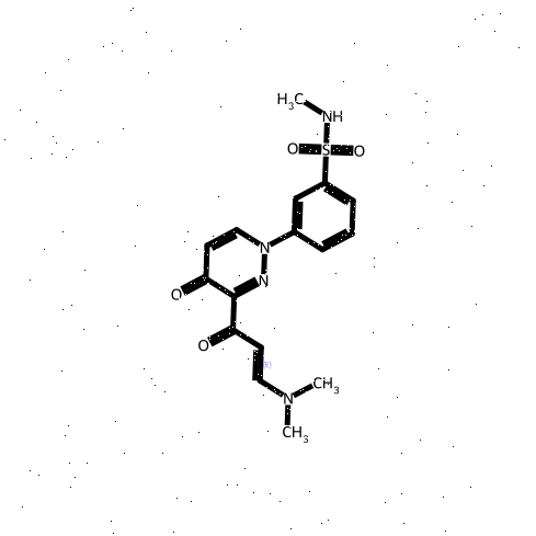 CNS(=O)(=O)c1cccc(-n2ccc(=O)c(C(=O)/C=C/N(C)C)n2)c1